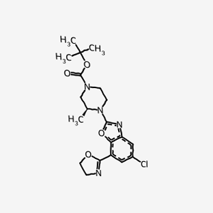 C[C@H]1CN(C(=O)OC(C)(C)C)CCN1c1nc2cc(Cl)cc(C3=NCCO3)c2o1